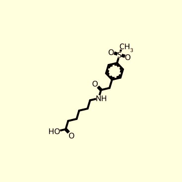 CS(=O)(=O)c1ccc(CC(=O)NCCCCCC(=O)O)cc1